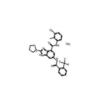 Cc1c(Cl)cccc1NC(=O)c1cc(NC(=O)c2ccccc2C(F)(F)F)cc2[nH]c([C@H]3CCCO3)nc12.Cl